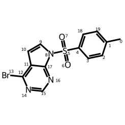 Cc1ccc(S(=O)(=O)n2ccc3c(Br)ncnc32)cc1